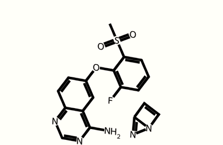 CS(=O)(=O)c1cccc(F)c1Oc1ccc2ncnc(N)c2c1.c1cn2nc1-2